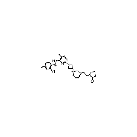 Cc1ccc([C@@H](C)Nc2nc(N3CC([C@H]4CCCN(CCN5CCCC5=O)C4)C3)ncc2C)c(Cl)c1